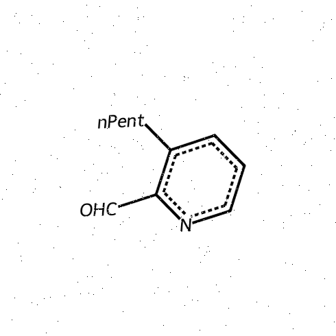 CCCCCc1cccnc1C=O